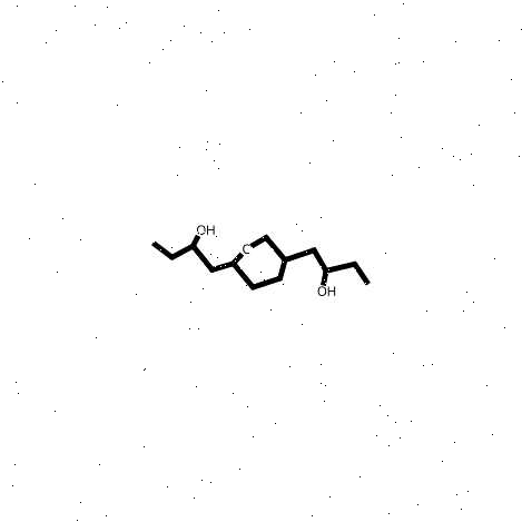 CCC(O)CC1CCC(CC(O)CC)CC1